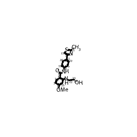 COc1ccc(C(=O)Nc2ccc(-c3csc(C)n3)cc2)c(NCCO)c1